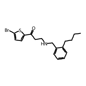 CCCCc1ccccc1CNCCC(=O)c1ccc(Br)s1